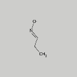 CCC=N[O]